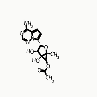 CC(=O)OC1[C@@]2(C)O[C@@H](c3ccc4c(N)ncnn34)[C@H](O)[C@@]12O